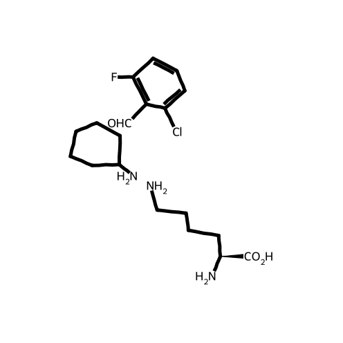 NC1CCCCC1.NCCCC[C@H](N)C(=O)O.O=Cc1c(F)cccc1Cl